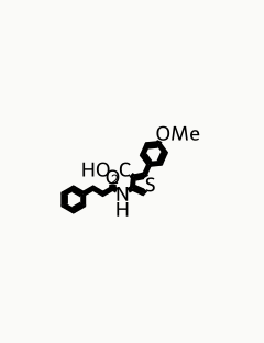 COc1ccc(-c2scc(NC(=O)CCc3ccccc3)c2C(=O)O)cc1